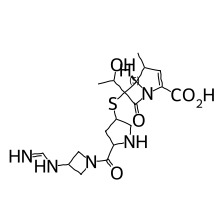 CC1C=C(C(=O)O)N2C(=O)C(SC3CNC(C(=O)N4CC(NC=N)C4)C3)(C(C)O)[C@H]12